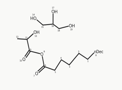 CCCCCCCCCCCCCCCC(=O)OC(=O)C(C)O.OCC(O)CO